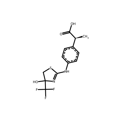 C[C@H](C(=O)O)c1ccc(NC2=NC(O)(C(F)(F)F)CS2)cc1